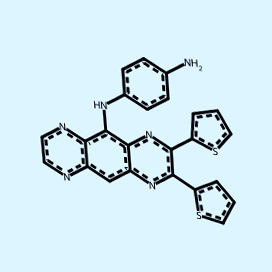 Nc1ccc(Nc2c3nccnc3cc3nc(-c4cccs4)c(-c4cccs4)nc23)cc1